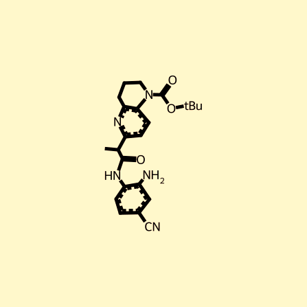 CC(C(=O)Nc1ccc(C#N)cc1N)c1ccc2c(n1)CCCN2C(=O)OC(C)(C)C